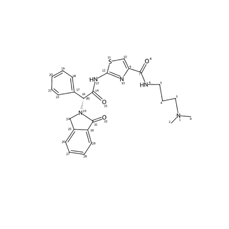 CN(C)CCCNC(=O)c1csc(NC(=O)[C@@H](c2ccccc2)N2Cc3ccccc3C2=O)n1